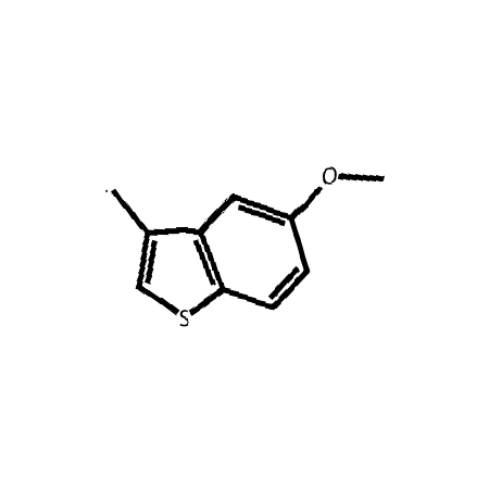 [CH2]c1csc2ccc(OC)cc12